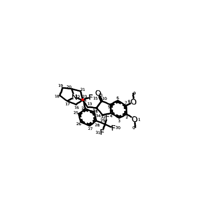 COc1cc2c(cc1OC)C(=O)C(CC1(F)CC3CCC(C1)N3Cc1cccc(C(F)(F)F)c1)C2